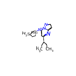 CCC(CC)c1cc(N[Si@H]2CC[SiH2]C2)n2nccc2n1